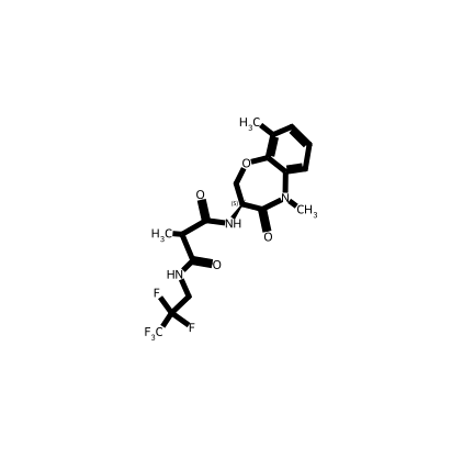 Cc1cccc2c1OC[C@H](NC(=O)C(C)C(=O)NCC(F)(F)C(F)(F)F)C(=O)N2C